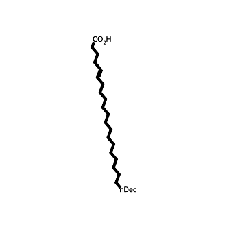 CCCCCCCCCCCCCCCCCCCCCCCCC=CCCCC(=O)O